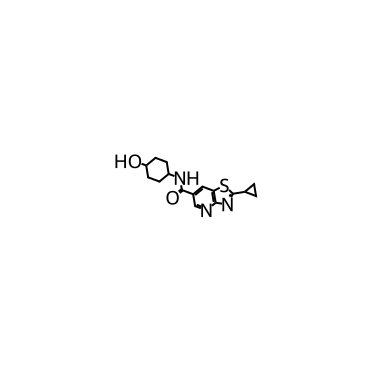 O=C(NC1CCC(O)CC1)c1cnc2nc(C3CC3)sc2c1